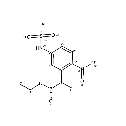 CCO[PH](=O)C(C)c1cc(NS(C)(=O)=O)ccc1[N+](=O)[O-]